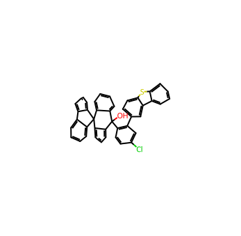 OC1(c2ccc(Cl)cc2-c2ccc3sc4ccccc4c3c2)c2ccccc2C2(c3ccccc3-c3ccccc32)c2ccccc21